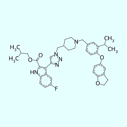 CC(C)COC(=O)c1[nH]c2ccc(F)cc2c1-c1cn(CC2CCN(Cc3ccc(Oc4ccc5c(c4)CCO5)c(C(C)C)c3)CC2)nn1